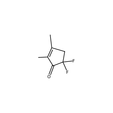 CC1=C(C)C(=O)C(F)(F)C1